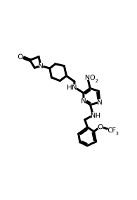 O=C1CN(C2CCC(CNc3nc(NCc4ccccc4OC(F)(F)F)ncc3[N+](=O)[O-])CC2)C1